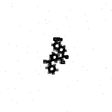 CCN(C(=O)c1ccc2cc(OC)ccc2c1)c1ccnc(N(CC)c2ccccc2)c1